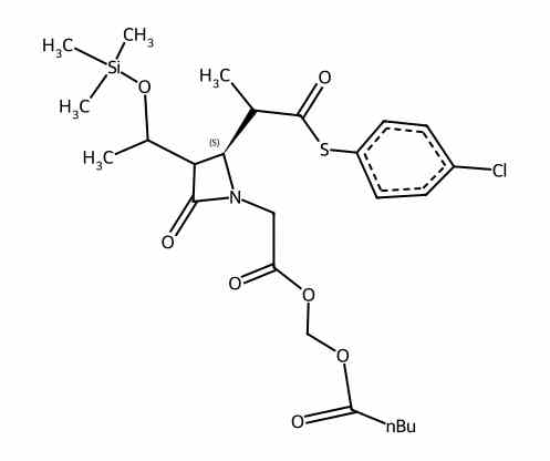 CCCCC(=O)OCOC(=O)CN1C(=O)C(C(C)O[Si](C)(C)C)[C@H]1C(C)C(=O)Sc1ccc(Cl)cc1